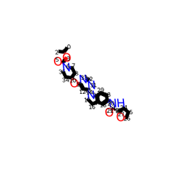 CC(C)OC(=O)N1CCC(Oc2cc(N3CCc4cc(NC(=O)[C@@H]5CCCO5)ccc43)ncn2)CC1